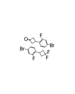 Fc1cc(Br)ccc1C1CC(F)(F)C1.O=C1CC(c2ccc(Br)cc2F)C1